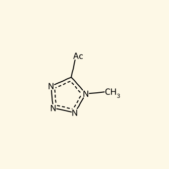 CC(=O)c1nnnn1C